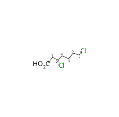 O=C(O)CC(Cl)CCCCCl